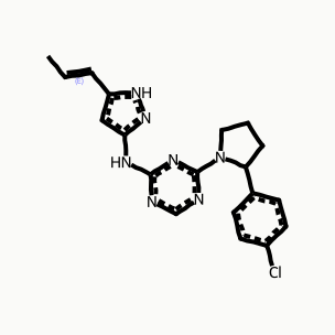 C/C=C/c1cc(Nc2ncnc(N3CCCC3c3ccc(Cl)cc3)n2)n[nH]1